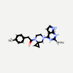 CC(=O)Nc1nc(N2CCN(C(=O)Cc3ccc(C#N)cc3)C3(CC3)C2)c2cc[nH]c2n1